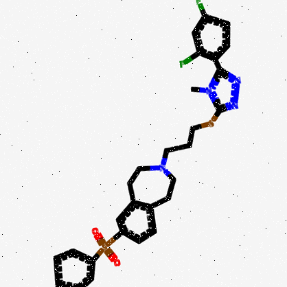 Cn1c(SCCCN2CCc3ccc(S(=O)(=O)c4ccccc4)cc3CC2)nnc1-c1ccc(F)cc1F